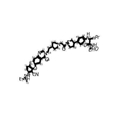 CCCC(Nc1ccc(C2CCN(C(=O)CN3CCC(CCn4cnc5ccc(Oc6c(F)ccc(NSN(C)CC)c6C#N)cc5c4=O)CC3)CC2)cc1)C(=O)NC=O